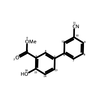 COC(=O)c1cc(-c2cccc(C#N)c2)ccc1O